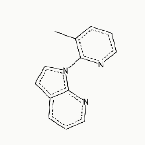 Cc1cccnc1-n1ccc2cccnc21